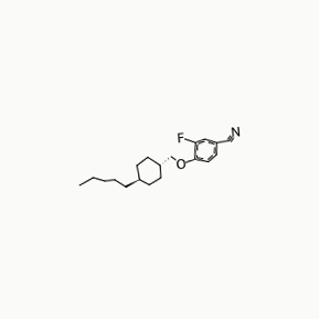 CCCCC[C@H]1CC[C@H](COc2ccc(C#N)cc2F)CC1